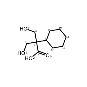 O=C(O)C(CO)(CO)C1CCCCC1